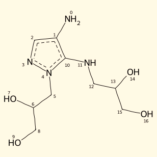 Nc1cnn(CC(O)CO)c1NCC(O)CO